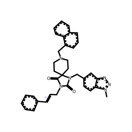 Cn1nnc2cc(CN3C(=O)N(C/C=C/c4ccccc4)C(=O)C34CCN(Cc3cccc5ccccc35)CC4)ccc21